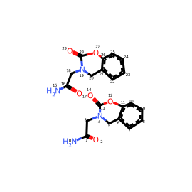 NC(=O)CN1Cc2ccccc2OC1=O.NC(=O)CN1Cc2ccccc2OC1=O